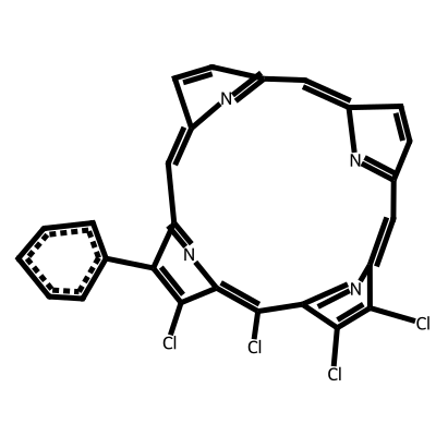 ClC1=C(Cl)C2=NC1=CC1=NC(=CC3=NC(=CC4=NC(=C2Cl)C(Cl)=C4c2ccccc2)C=C3)C=C1